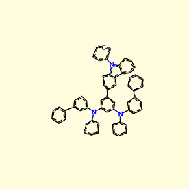 c1ccc(-c2cccc(N(c3ccccc3)c3cc(-c4ccc5c(c4)c4ccccc4n5-c4ccccc4)cc(N(c4ccccc4)c4cccc(-c5ccccc5)c4)c3)c2)cc1